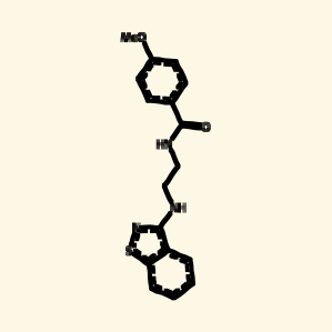 COc1ccc(C(=O)NCCNc2nsc3ccccc23)cc1